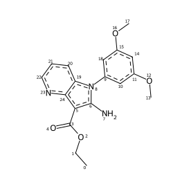 CCOC(=O)c1c(N)n(-c2cc(OC)cc(OC)c2)c2cccnc12